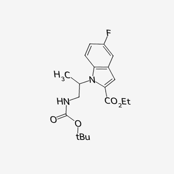 CCOC(=O)c1cc2cc(F)ccc2n1C(C)CNC(=O)OC(C)(C)C